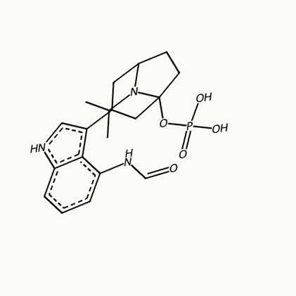 CC(C)N1C2CCC1(OP(=O)(O)O)CC(c1c[nH]c3cccc(NC=O)c13)C2